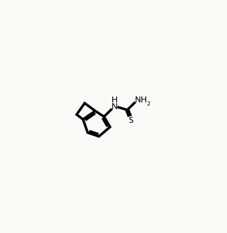 NC(=S)Nc1cccc2c1CC2